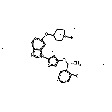 CCN1CCC(Oc2ccc3ncn(-c4cc(O[C@H](C)c5ccccc5Cl)cs4)c3c2)CC1